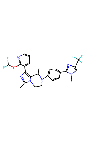 Cc1nc(-c2cccnc2OC(F)F)c2n1CCN(c1ccc(-c3nc(C(F)(F)F)cn3C)cc1)C2C